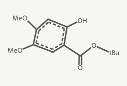 COc1cc(O)c(C(=O)OC(C)(C)C)cc1OC